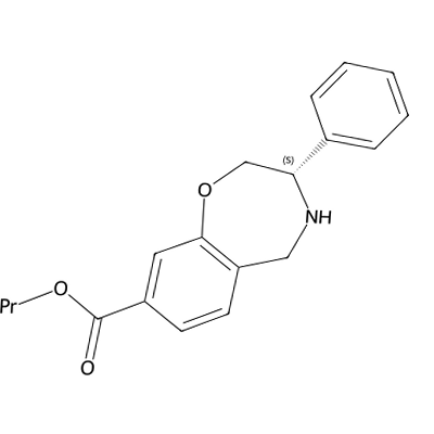 CC(C)OC(=O)c1ccc2c(c1)OC[C@H](c1ccccc1)NC2